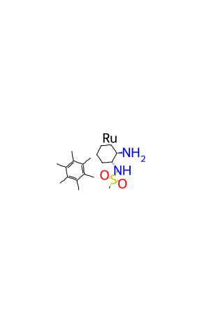 CS(=O)(=O)N[C@@H]1CCCC[C@H]1N.Cc1c(C)c(C)c(C)c(C)c1C.[Ru]